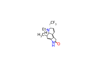 CCN1[C@H](CC(F)(F)F)C=CC2=C3CC(=O)NC3=CC(C)[C@H]21